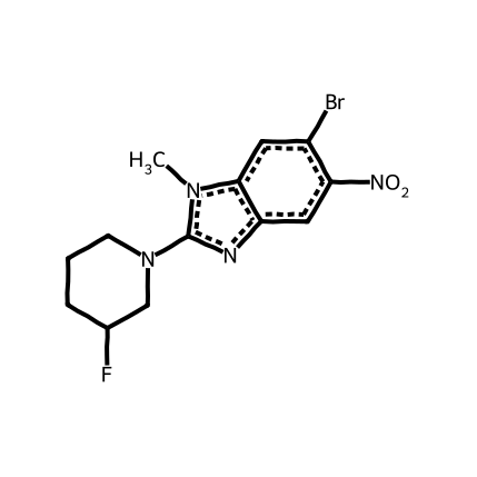 Cn1c(N2CCCC(F)C2)nc2cc([N+](=O)[O-])c(Br)cc21